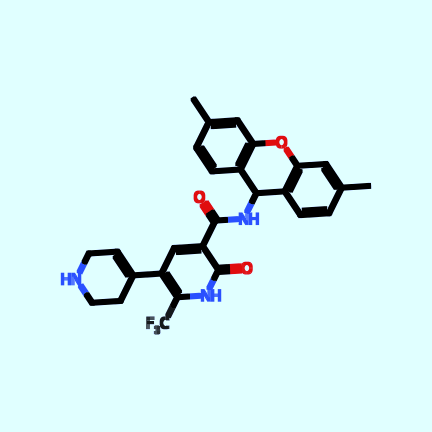 Cc1ccc2c(c1)Oc1cc(C)ccc1C2NC(=O)c1cc(C2=CCNCC2)c(C(F)(F)F)[nH]c1=O